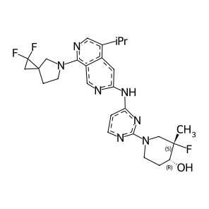 CC(C)c1cnc(N2CCC3(C2)CC3(F)F)c2cnc(Nc3ccnc(N4CC[C@@H](O)[C@@](C)(F)C4)n3)cc12